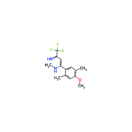 CN/C(=C\C(=N)C(F)(F)F)c1cc(C)c(OC)cc1C